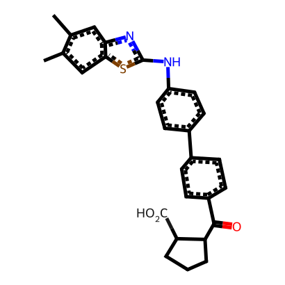 Cc1cc2nc(Nc3ccc(-c4ccc(C(=O)C5CCCC5C(=O)O)cc4)cc3)sc2cc1C